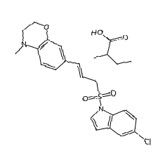 CCC(C)C(=O)O.CN1CCOc2cc(C=CCS(=O)(=O)n3ccc4cc(Cl)ccc43)ccc21